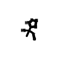 CC(S)([C]=O)c1nnn[nH]1